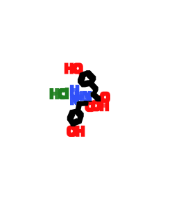 Cl.NC(C(=O)N[C@@H](Cc1ccc(O)cc1)C(=O)O)c1ccc(O)cc1